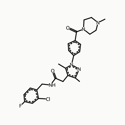 Cc1nn(-c2ccc(C(=O)N3CCN(C)CC3)cc2)c(C)c1CC(=O)NCc1ccc(F)cc1Cl